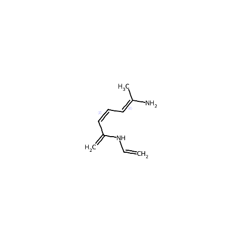 C=CNC(=C)/C=C\C=C(/C)N